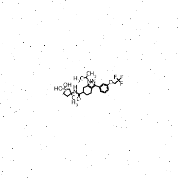 CC(C)n1nc(-c2cccc(OCC(F)(F)F)c2)c2c1CC(C(=O)NC1(C)CCS(O)(O)C1)CC2